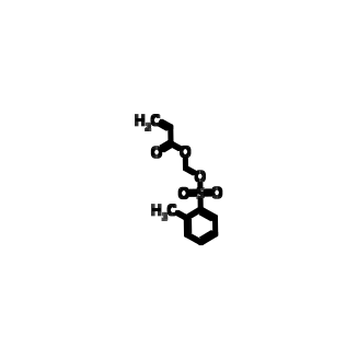 C=CC(=O)OCOS(=O)(=O)c1ccccc1C